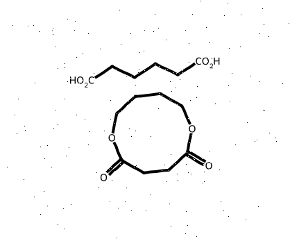 O=C(O)CCCCC(=O)O.O=C1CCC(=O)OCCCCO1